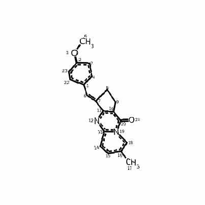 COc1ccc(C=C2CCc3c2nc2ccc(C)cn2c3=O)cc1